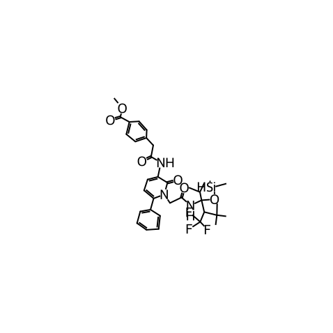 COC(=O)c1ccc(CC(=O)Nc2ccc(-c3ccccc3)n(CC(=O)NC(O[SiH](C)C)(C(C)C)C(C(C)(C)C)C(F)(F)F)c2=O)cc1